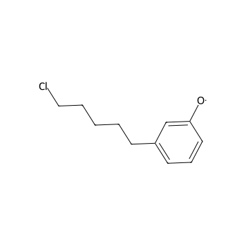 [O]c1cccc(CCCCCCl)c1